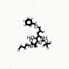 C=C(CC(O)C(CC(C)COCc1ccccc1)NC(=O)OC(C)(C)C)C(=O)NCCCC